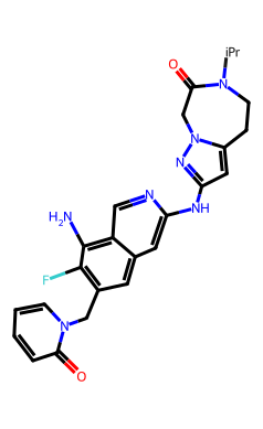 CC(C)N1CCc2cc(Nc3cc4cc(Cn5ccccc5=O)c(F)c(N)c4cn3)nn2CC1=O